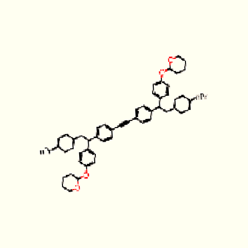 CCCC1CCC(CC(c2ccc(C#Cc3ccc(C(CC4CCC(CCC)CC4)c4ccc(OC5CCCCO5)cc4)cc3)cc2)c2ccc(OC3CCCCO3)cc2)CC1